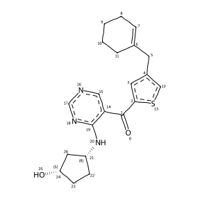 O=C(c1cc(CC2=CCCCC2)cs1)c1cncnc1N[C@@H]1C[CH][C@H](O)C1